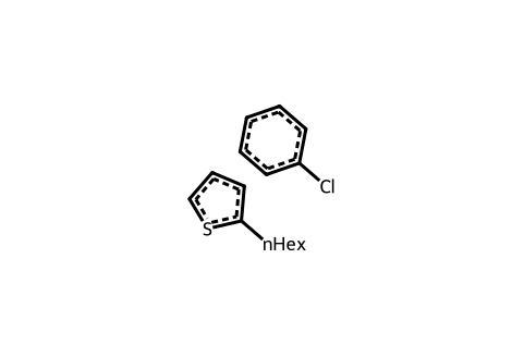 CCCCCCc1cccs1.Clc1ccccc1